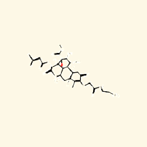 COC(=O)[C@@]12OC[C@]34C([C@@H](O)[C@@H]1O)[C@@]1(C)CC(=O)C(OCC(=O)NCCN)=C(C)[C@@H]1C[C@@]3(N)OC(=O)[C@H](OC(=O)C=C(C)C)[C@@H]24